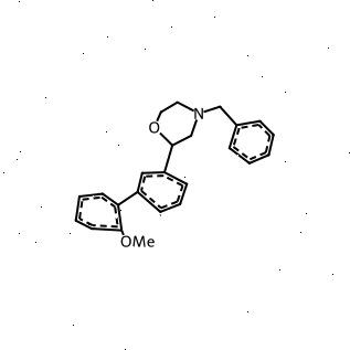 COc1ccccc1-c1[c]ccc(C2CN(Cc3ccccc3)CCO2)c1